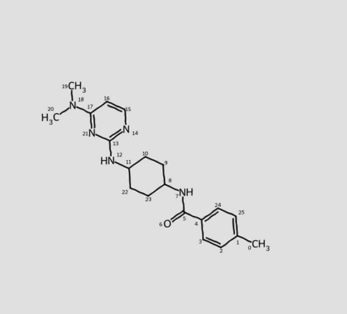 Cc1ccc(C(=O)NC2CCC(Nc3nccc(N(C)C)n3)CC2)cc1